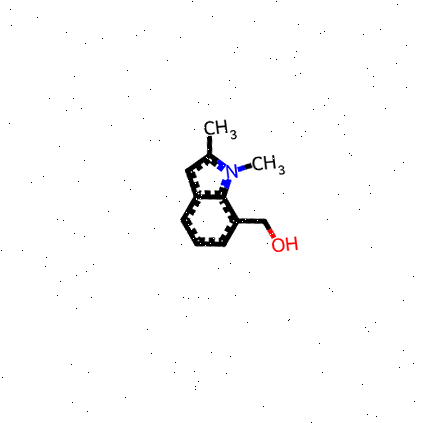 Cc1cc2cccc(CO)c2n1C